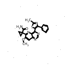 COc1cc2ncnc(-c3sc(C)nc3-c3ccccc3)c2nc1C1(C(N)=O)CC1